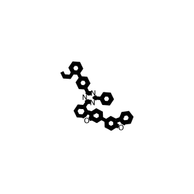 C/C=C\c1ccccc1-c1ccc(-c2nc(C3=CCCc4oc5cc(-c6ccc7oc8ccccc8c7c6)ccc5c43)nc(-c3ccccc3)n2)cc1